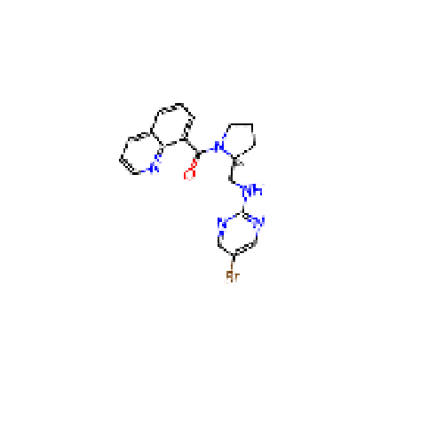 O=C(c1cccc2cccnc12)N1CCC[C@H]1CNc1ncc(Br)cn1